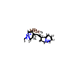 Br.C[n+]1ccc(C=C2CC[n+]3ccccc32)cc1